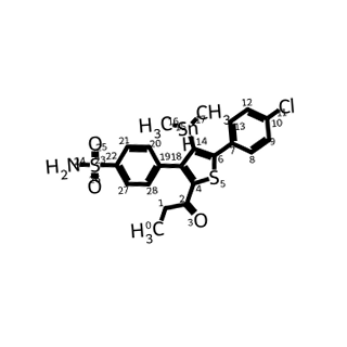 CCC(=O)c1sc(-c2ccc(Cl)cc2)[c]([SnH]([CH3])[CH3])c1-c1ccc(S(N)(=O)=O)cc1